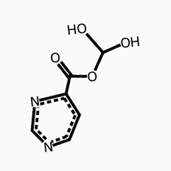 O=C(OC(O)O)c1ccncn1